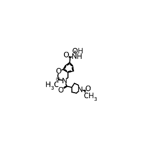 CC(=O)N1CCC(C(=O)N2Cc3ccc(C(=O)NO)cc3OC[C@@H]2C)CC1